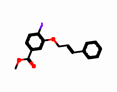 COC(=O)c1ccc(I)c(OCC=Cc2ccccc2)c1